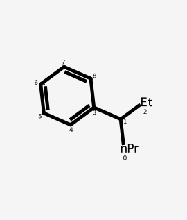 CCCC(CC)c1cc[c]cc1